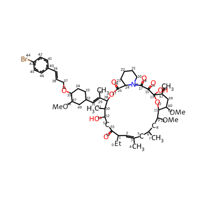 CCC1/C=C(\C)CC(C)CC(OC)C2OC(O)(C(=O)C(=O)N3CCCCC3C(=O)OC(C(C)=CC3CCC(OCC=Cc4ccc(Br)cc4)C(OC)C3)C(C)C(O)CC1=O)C(C)CC2OC